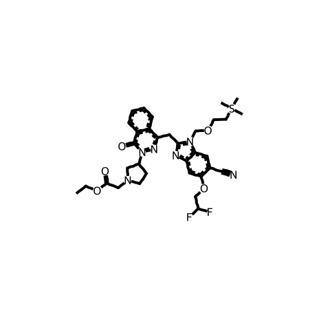 CCOC(=O)CN1CCC(n2nc(Cc3nc4cc(OCC(F)F)c(C#N)cc4n3COCCS(C)(C)C)c3ccccc3c2=O)C1